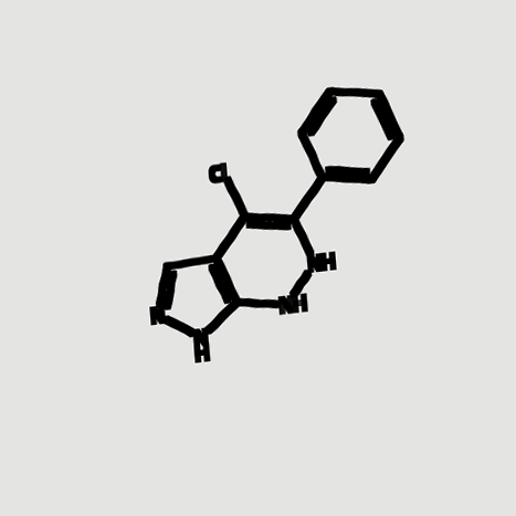 ClC1=C(c2ccccc2)NNc2[nH]ncc21